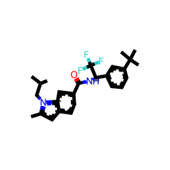 Cc1cc2ccc(C(=O)N[C@H](c3cccc(C(C)(C)C)c3)C(F)(F)F)cc2n1CC(C)C